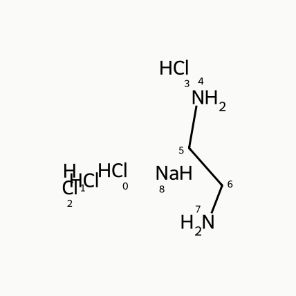 Cl.Cl.Cl.Cl.NCCN.[NaH]